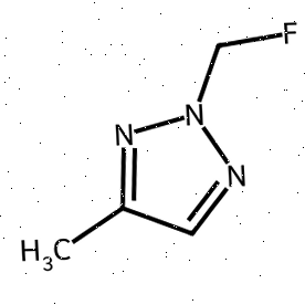 Cc1cnn(CF)n1